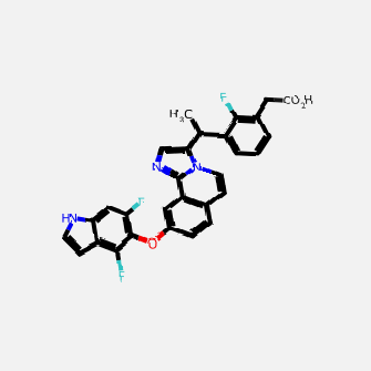 CC(c1cccc(CC(=O)O)c1F)c1cnc2c3cc(Oc4c(F)cc5[nH]ccc5c4F)ccc3ccn12